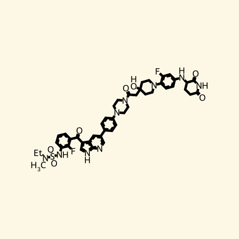 CCN(C)S(=O)(=O)Nc1cccc(C(=O)c2c[nH]c3ncc(-c4ccc(N5CCN(C(=O)CC6(O)CCN(c7ccc(NC8CCC(=O)NC8=O)cc7F)CC6)CC5)cc4)cc23)c1F